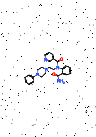 NC(=O)c1ccccc1N(CCN1CCN(c2ccccc2)CC1)C(=O)c1cccnc1